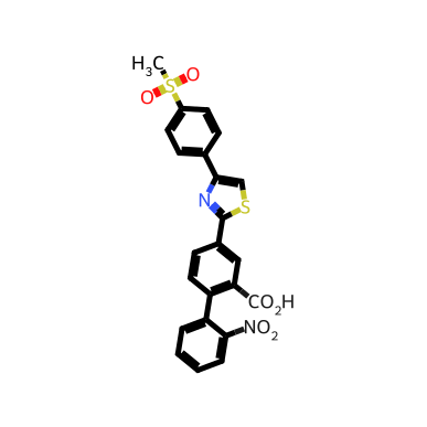 CS(=O)(=O)c1ccc(-c2csc(-c3ccc(-c4ccccc4[N+](=O)[O-])c(C(=O)O)c3)n2)cc1